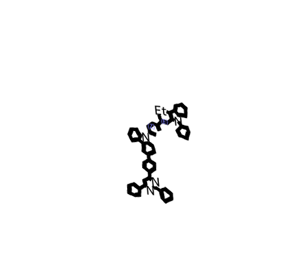 C=C(/C=C\C(=C)n1c2ccccc2c2cc(-c3ccc(-c4cc(-c5ccccc5)nc(-c5ccccc5)n4)cc3)ccc21)/C(C)=C/c1c(CC)c2ccccc2n1-c1ccccc1